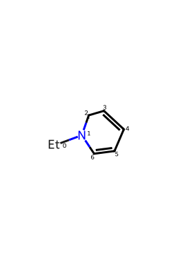 CCN1[CH]C=CC=C1